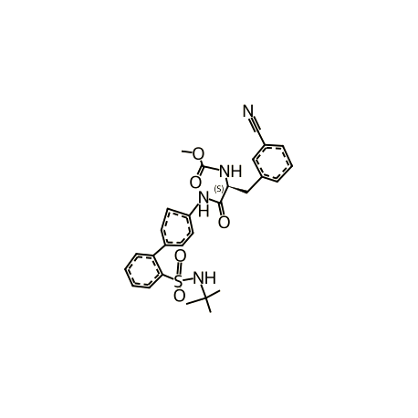 COC(=O)N[C@@H](Cc1cccc(C#N)c1)C(=O)Nc1ccc(-c2ccccc2S(=O)(=O)NC(C)(C)C)cc1